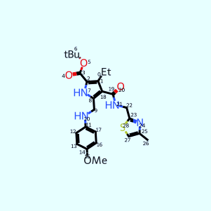 CCc1c(C(=O)OC(C)(C)C)[nH]c(CNc2ccc(OC)cc2)c1C(=O)NCc1nc(C)cs1